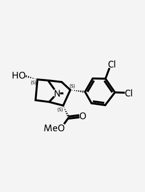 COC(=O)[C@@H]1C2C[C@H](O)C(C[C@@H]1c1ccc(Cl)c(Cl)c1)N2C